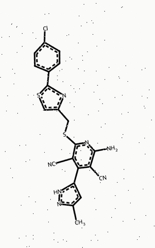 Cc1cc(-c2c(C#N)c(N)nc(SCc3csc(-c4ccc(Cl)cc4)n3)c2C#N)[nH]n1